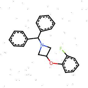 Fc1ccccc1OC1CN(C(c2ccccc2)c2ccccc2)C1